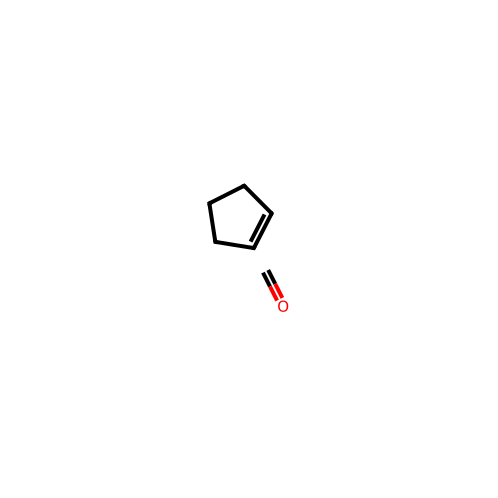 C1=CCCC1.C=O